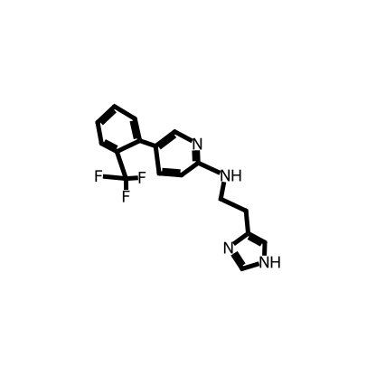 FC(F)(F)c1ccccc1-c1ccc(NCCc2c[nH]cn2)nc1